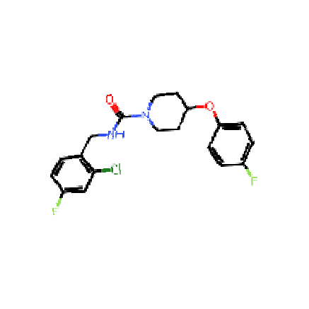 O=C(NCc1ccc(F)cc1Cl)N1CCC(Oc2ccc(F)cc2)CC1